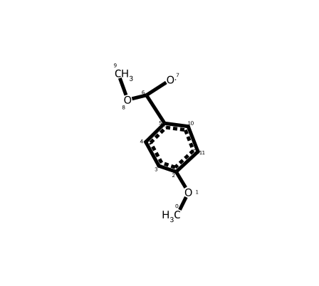 COc1ccc(C([O])OC)cc1